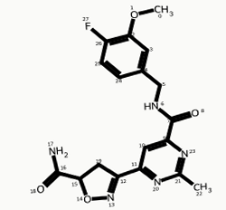 COc1cc(CNC(=O)c2cc(C3=NOC(C(N)=O)C3)nc(C)n2)ccc1F